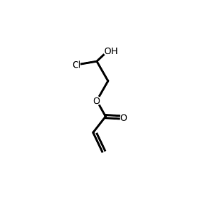 C=CC(=O)OCC(O)Cl